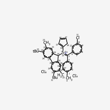 Cc1ccc(/[C](c2cccc(Cl)c2)=[Zr+2](/[C]2=CC=CC2)[CH]2c3cc(C)c(C(C)(C)C)cc3-c3cc(C(C)(C)C)c(C)cc32)cc1.[Cl-].[Cl-]